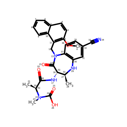 COc1ccc2ccccc2c1CN1C(=O)[C@@H](NC(=O)[C@H](C)N(C)C(=O)O)[C@H](C)Nc2cc(C#N)ccc21